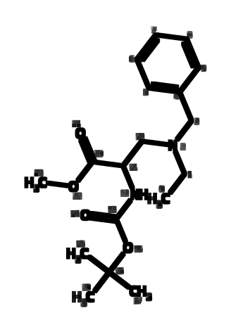 CCN(Cc1ccccc1)CC(NC(=O)OC(C)(C)C)C(=O)OC